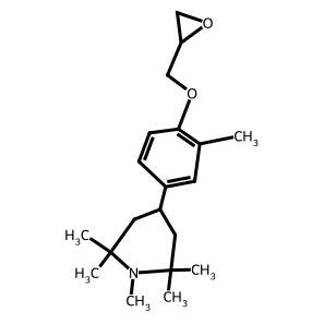 Cc1cc(C2CC(C)(C)N(C)C(C)(C)C2)ccc1OCC1CO1